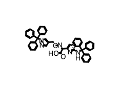 O=C(O)C(=NOCc1cnn(C(c2ccccc2)(c2ccccc2)c2ccccc2)c1)c1csc(NC(c2ccccc2)(c2ccccc2)c2ccccc2)n1